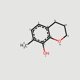 Cc1ccc2c(c1O)OCCC2